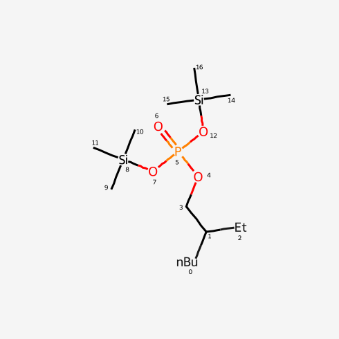 CCCCC(CC)COP(=O)(O[Si](C)(C)C)O[Si](C)(C)C